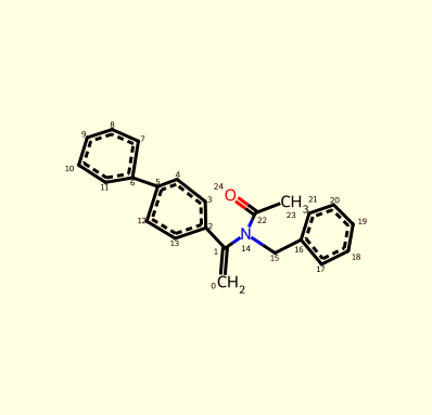 C=C(c1ccc(-c2ccccc2)cc1)N(Cc1ccccc1)C(C)=O